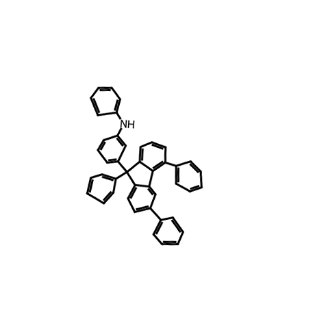 c1ccc(Nc2cccc(C3(c4ccccc4)c4ccc(-c5ccccc5)cc4-c4c(-c5ccccc5)cccc43)c2)cc1